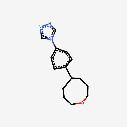 c1cc(-n2cnnc2)ccc1C1CCCOCCC1